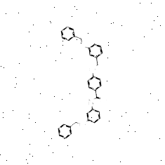 O=C(Nc1[c]c(OCc2ccccc2)ccc1)c1ccc(OCc2cccc(OCc3ccccc3)c2)cc1